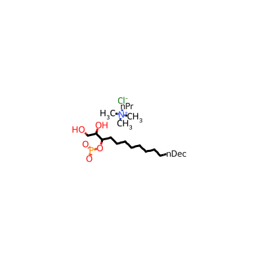 CCCCCCCCCCCCCCCCCCC(OP(=O)=O)C(O)CO.CCC[N+](C)(C)C.[Cl-]